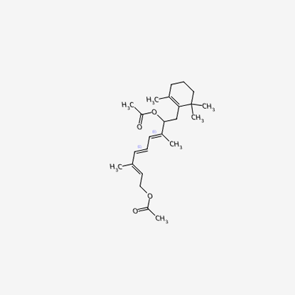 CC(=O)OCC=C(C)/C=C/C=C(\C)C(CC1=C(C)CCCC1(C)C)OC(C)=O